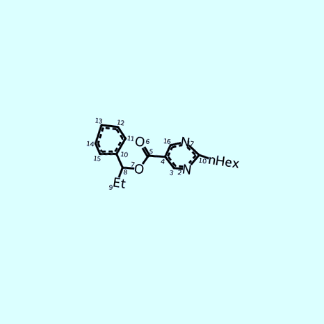 CCCCCCc1ncc(C(=O)OC(CC)c2ccccc2)cn1